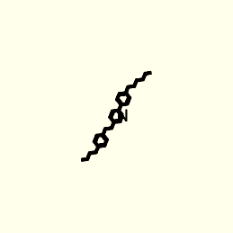 CCCCCCc1ccc(-c2ccc(CCc3ccc(CCCC)cc3)cn2)cc1